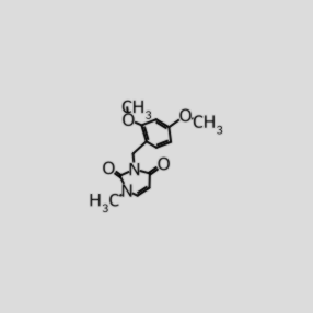 COc1ccc(Cn2c(=O)ccn(C)c2=O)c(OC)c1